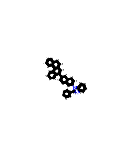 c1ccc(-c2nc3ccccc3n2-c2ccc3cc(-c4cc5ccc6ccccc6c5c5ccccc45)ccc3c2)cc1